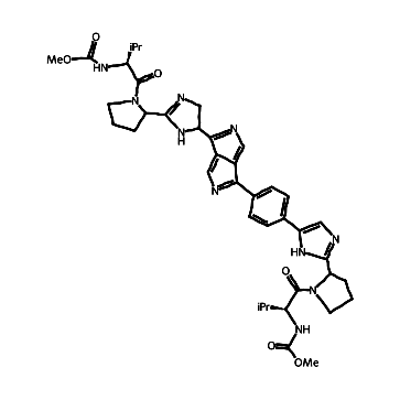 COC(=O)N[C@H](C(=O)N1CCCC1C1=NCC(C2=NC=C3C2=CN=C3c2ccc(-c3cnc(C4CCCN4C(=O)[C@@H](NC(=O)OC)C(C)C)[nH]3)cc2)N1)C(C)C